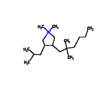 CCCCC(C)(C)CC1C[N+](C)(C)CC1CC(C)C